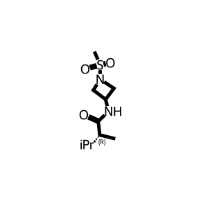 CC(C)[C@@H](C)C(=O)NC1CN(S(C)(=O)=O)C1